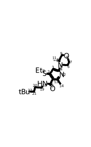 CCSc1cc(N2CCOC[C@H]2C)nc(C)c1C(=O)NCCCC(C)(C)C